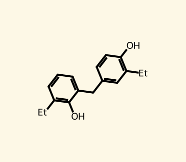 CCc1cc(Cc2cccc(CC)c2O)ccc1O